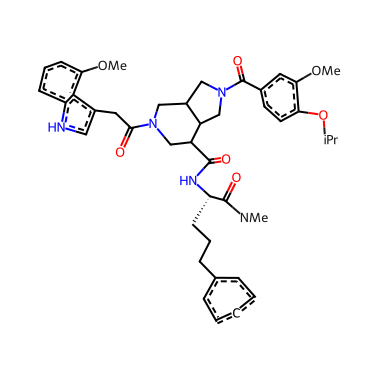 CNC(=O)[C@H](CCCc1ccccc1)NC(=O)C1CN(C(=O)Cc2c[nH]c3cccc(OC)c23)CC2CN(C(=O)c3ccc(OC(C)C)c(OC)c3)CC21